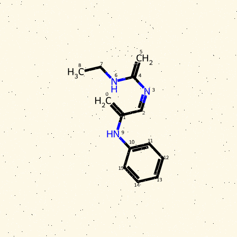 C=C(/C=N\C(=C)NCC)Nc1ccccc1